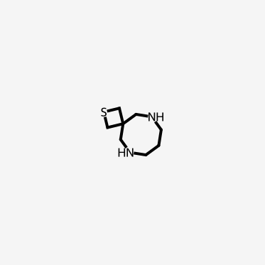 C1CNCC2(CNC1)CSC2